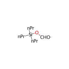 CCC[Si](CCC)(CCC)O[C]=O